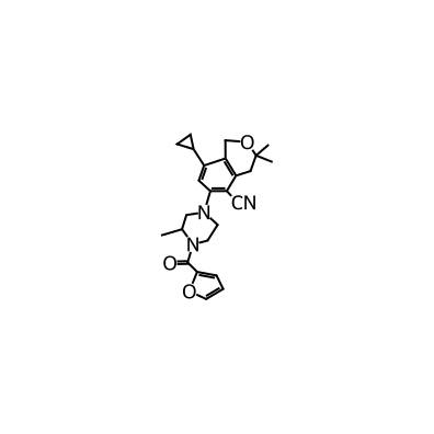 CC1CN(c2cc(C3CC3)c3c(c2C#N)CC(C)(C)OC3)CCN1C(=O)c1ccco1